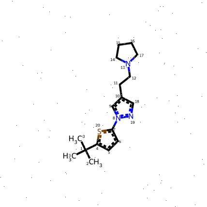 CC(C)(C)c1ccc(-n2cc(CCN3CCCC3)cn2)s1